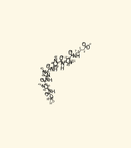 COC(=O)CCCCNC(=O)c1cc(NC(=O)c2cc(NC(=O)c3nc(NC(=O)c4cc(NC(=O)OC(C)(C)C)cn4C)cn3C)cn2C)cn1C